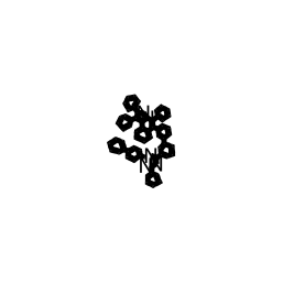 c1ccc(-c2ccc(-c3nc(-c4ccccc4)nc(-c4cccc(-c5cccc(-c6c(-c7ccccc7)n7nc(-c8ccccc8)c(-c8ccccc8)c7c7ccccc67)c5)c4)n3)cc2)cc1